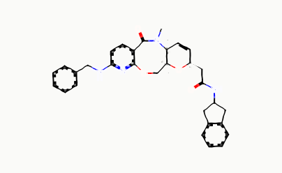 CN1C(=O)c2ccc(NCc3ccccc3)nc2OC[C@@H]2O[C@H](CC(=O)NC3Cc4ccccc4C3)C=C[C@@H]21